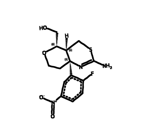 NC1=N[C@@]2(c3cc([N+](=O)[O-])ccc3F)CCO[C@H](CO)[C@H]2CS1